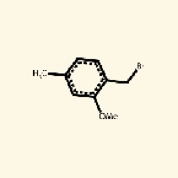 COc1cc(C)ccc1CBr